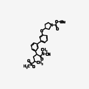 CC(CC(C(=O)N(C)C#N)c1cccc(-c2cccc(OC3CCN(C(=O)OC(C)(C)C)C3)c2)c1)S(C)(=O)=O